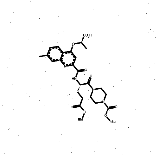 CCCCOC(=O)N1CCN(C(=O)[C@H](CCC(=O)OC(C)(C)C)NC(=O)c2cc(O[C@H](C)C(=O)O)c3ccc(C)cc3n2)CC1